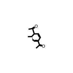 CCC(/C=C\C(=C/I)C(C)=O)C(C)=O